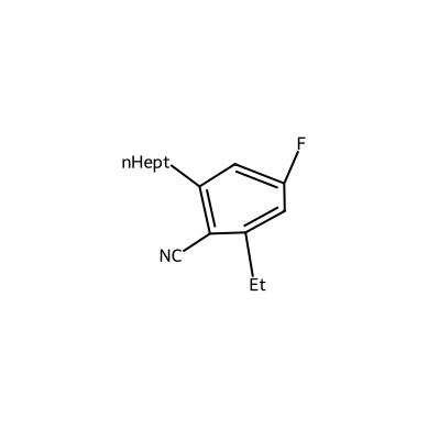 [CH2]CCCCCCc1cc(F)cc(CC)c1C#N